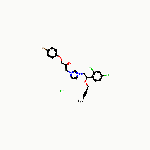 CC#CCOC(C[n+]1ccn(CC(=O)COc2ccc(Br)cc2)c1)c1ccc(Cl)cc1Cl.[Cl-]